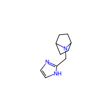 c1c[nH]c(CN2C3CCC2CC3)n1